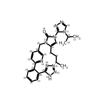 CCCCc1cn(-c2nncn2C(C)C)c(=O)n1Cc1ccc(-c2ccccc2-c2nnn[nH]2)nc1